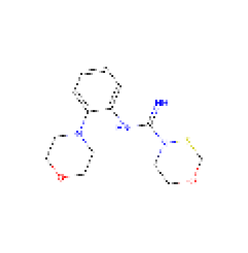 N=C(Nc1ccccc1N1CCOCC1)N1CCOCS1